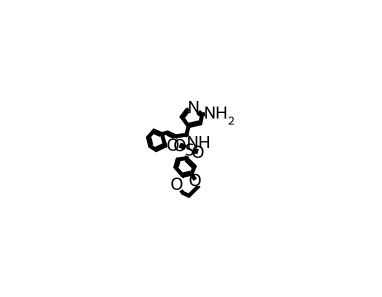 Nc1cc(C(NS(=O)(=O)c2ccc3c(c2)OCCCO3)c2cc3ccccc3o2)ccn1